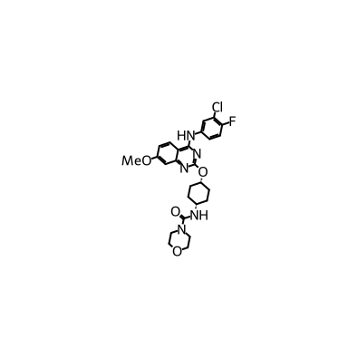 COc1ccc2c(Nc3ccc(F)c(Cl)c3)nc(O[C@H]3CC[C@@H](NC(=O)N4CCOCC4)CC3)nc2c1